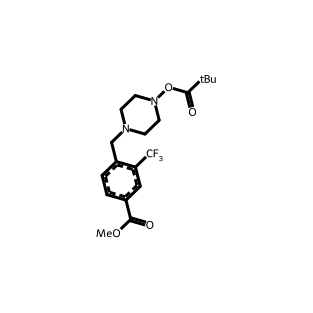 COC(=O)c1ccc(CN2CCN(OC(=O)C(C)(C)C)CC2)c(C(F)(F)F)c1